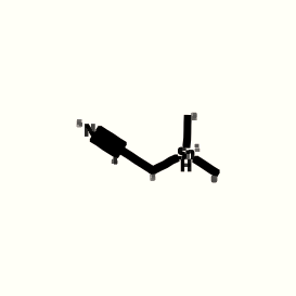 [CH3][SnH]([CH3])[CH2]C#N